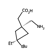 CC[C@]1(C(C)(C)C)C[C@@](CN)(CC(=O)O)C1